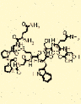 CSCC[C@H](NC(=O)CNC(=O)[C@@H]1CCCN1C(=O)[C@@H]1CCCN1C(=O)CNC(=O)[C@@H](N)CCC(N)=O)C(=O)N[C@@H](Cc1c[nH]c2ccccc12)C(=O)N[C@@H](CO)C(=O)N[C@@H](CCC(N)=O)C(=O)N[C@@H](CO)C(=O)O